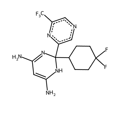 NC1=CC(N)=NC(c2cncc(C(F)(F)F)n2)(C2CCC(F)(F)CC2)N1